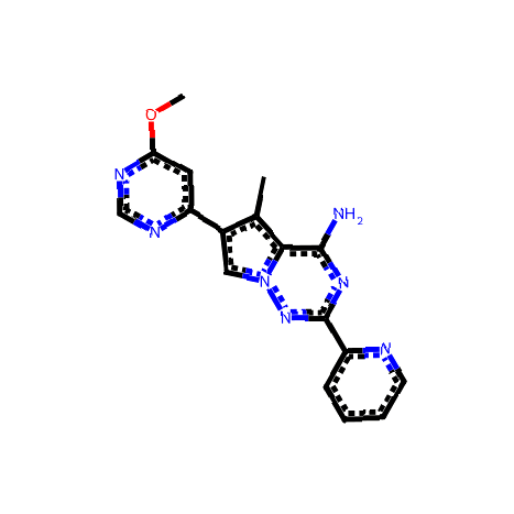 COc1cc(-c2cn3nc(-c4ccccn4)nc(N)c3c2C)ncn1